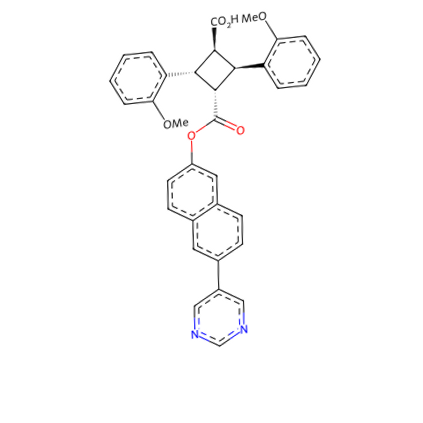 COc1ccccc1[C@@H]1[C@H](C(=O)O)[C@@H](c2ccccc2OC)[C@H]1C(=O)Oc1ccc2cc(-c3cncnc3)ccc2c1